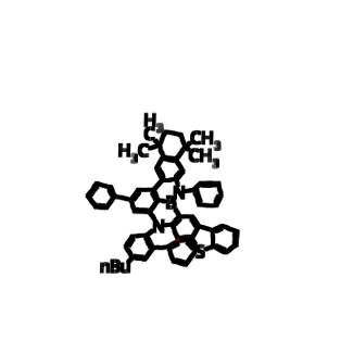 CCCCc1ccc(N2c3cc4sc5ccccc5c4cc3B3c4c(cc(-c5ccccc5)cc42)-c2cc4c(cc2N3c2ccccc2)C(C)(C)CCC4(C)C)c(-c2ccccc2)c1